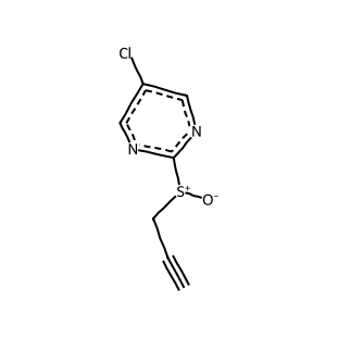 C#CC[S+]([O-])c1ncc(Cl)cn1